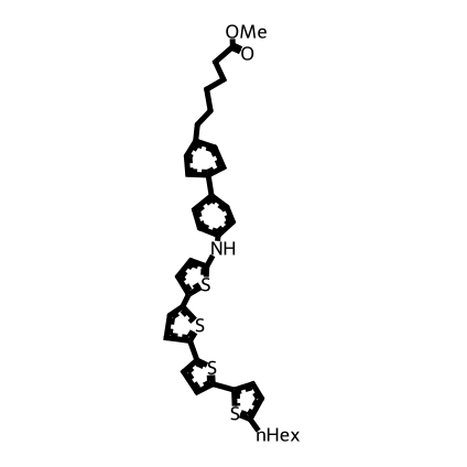 CCCCCCc1ccc(-c2ccc(-c3ccc(-c4ccc(Nc5ccc(-c6ccc(CCCCCC(=O)OC)cc6)cc5)s4)s3)s2)s1